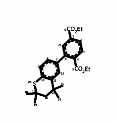 CCOC(=O)c1ccc(C(=O)OCC)c(-c2ccc3c(c2)C(C)(C)CC(C)(C)S3)c1